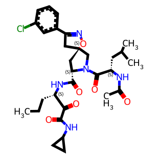 CCC[C@H](NC(=O)[C@@H]1C[C@]2(CC(c3cccc(Cl)c3)=NO2)CN1C(=O)[C@H](CC(C)C)NC(C)=O)C(=O)C(=O)NC1CC1